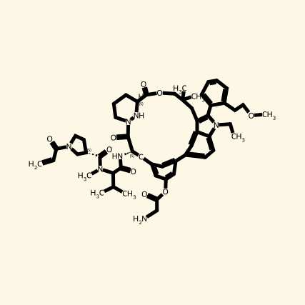 C=CC(=O)N1CC[C@H](C(=O)N(C)C(C(=O)N[C@H]2Cc3cc(OC(=O)CN)cc(c3)-c3ccc4c(c3)c(c(-c3ccccc3CCOC)n4CC)CC(C)(C)COC(=O)[C@@H]3CCCN(N3)C2=O)C(C)C)C1